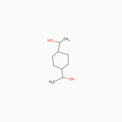 CC(O)C1CCC(C(C)O)CC1